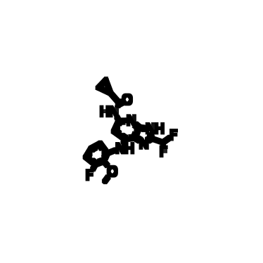 COc1c(F)cccc1Nc1cc(NC(=O)C2CC2)nc2[nH]c(C(F)F)nc12